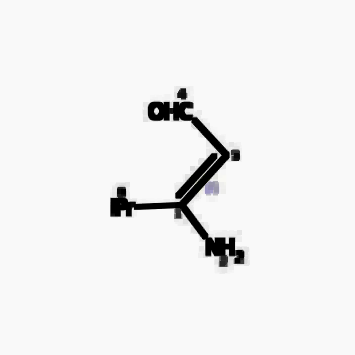 CC(C)/C(N)=C\C=O